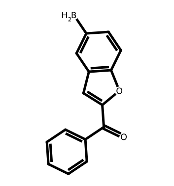 Bc1ccc2oc(C(=O)c3ccccc3)cc2c1